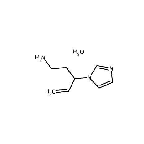 C=CC(CCN)n1ccnc1.O